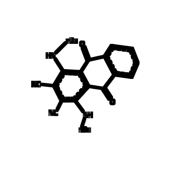 CCCCNc1c(C#N)c(C#N)c(NCCCC)c2c1C(=O)c1ccccc1C2=O